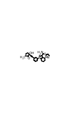 CN1CC[C@@](O)(C#Cc2cccc(-n3nc(C(N)=O)c4c3CCCC4n3cccn3)c2)C1=O